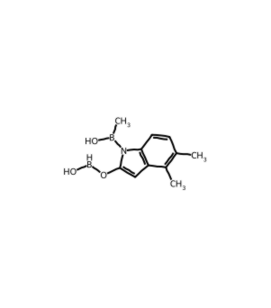 CB(O)n1c(OBO)cc2c(C)c(C)ccc21